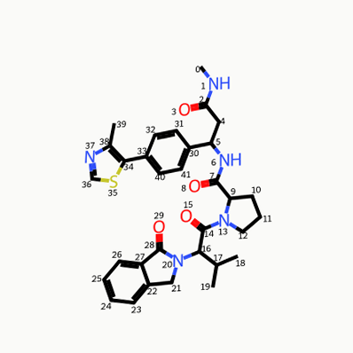 CNC(=O)CC(NC(=O)C1CCCN1C(=O)C(C(C)C)N1Cc2ccccc2C1=O)c1ccc(-c2scnc2C)cc1